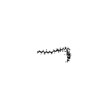 CCCCCCCCCCCCCCCCCCC(CC)OOP(=O)(O)OCCC